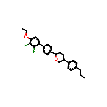 CCCc1ccc(C2CCC(c3ccc(-c4ccc(OCC)c(F)c4F)cc3)OC2)cc1